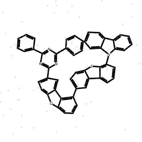 c1ccc(-c2nc(-c3ccccc3)nc(-c3ccc4oc5cccc(-c6ccc7sc8c(-n9c%10ccccc%10c%10ccccc%109)cccc8c7c6)c5c4c3)n2)cc1